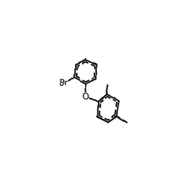 Cc1ccc(Oc2ccccc2Br)c(C)c1